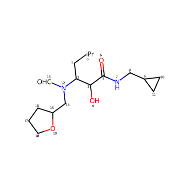 CC(C)CC(C(O)C(=O)NCC1CC1)N(C=O)CC1CCCO1